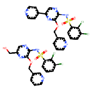 O=S(=O)(Nc1ncc(-c2ccncc2)nc1OCc1cccnc1)c1cccc(Cl)c1Cl.O=S(=O)(Nc1ncc(CO)nc1OCc1cccnc1)c1cccc(Cl)c1Cl